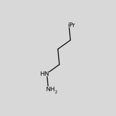 CC(C)CCCNN